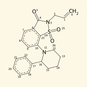 C=CCN1C(=O)c2cccc(N3CCCCC3c3ccccc3)c2S1(=O)=O